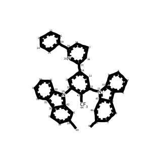 Cc1ccc2c3ccccc3n(-c3cc(-c4cccc(-c5ccccc5)n4)cc(-n4c5ccccc5c5ccc(C)cc54)c3C(F)(F)F)c2c1